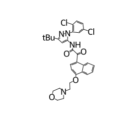 CC(C)(C)c1cc(NC(=O)C(=O)c2ccc(OCCN3CCOCC3)c3ccccc23)n(-c2cc(Cl)ccc2Cl)n1